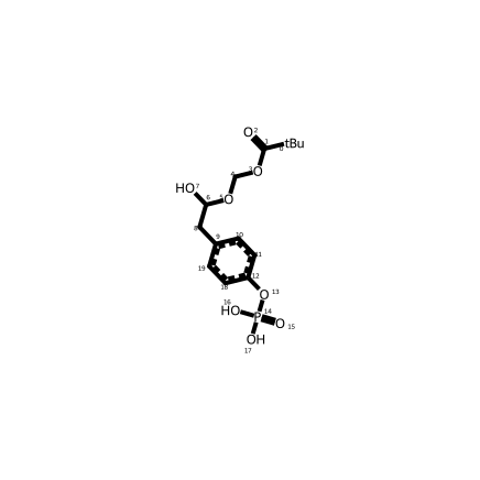 CC(C)(C)C(=O)OCOC(O)Cc1ccc(OP(=O)(O)O)cc1